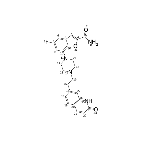 NC(=O)c1cc2cc(F)cc(N3CCN(CCc4ccc5ccc(=O)[nH]c5c4)CC3)c2o1